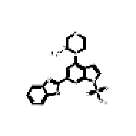 C[C@@H]1COCCN1c1cc(-c2nc3ccccc3[nH]2)nc2c1ccn2S(C)(=O)=O